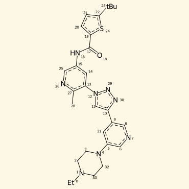 CCN1CCN(c2cncc(-c3cn(-c4cc(NC(=O)c5ccc(C(C)(C)C)s5)cnc4C)nn3)c2)CC1